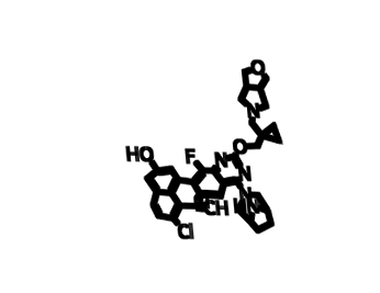 C#Cc1c(Cl)ccc2cc(O)cc(-c3c(Cl)cc4c(N5CC6CCC(C5)N6)nc(OCC5(CN6CC7COCC7C6)CC5)nc4c3F)c12